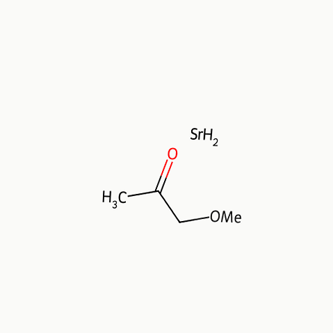 COCC(C)=O.[SrH2]